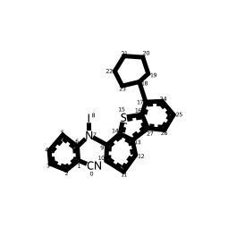 N#Cc1ccccc1N(I)c1cccc2c1sc1c(C3CCCCC3)cccc12